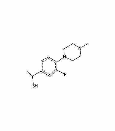 CC(S)c1ccc(N2CCN(C)CC2)c(F)c1